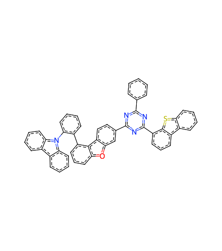 c1ccc(-c2nc(-c3ccc4c(c3)oc3cccc(-c5ccccc5-n5c6ccccc6c6ccccc65)c34)nc(-c3cccc4c3sc3ccccc34)n2)cc1